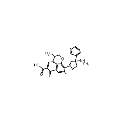 CNC1(c2cccnc2)CCN(c2c(F)cc3c(=O)c(C(=O)O)cn4c3c2OC[C@@H]4C)C1